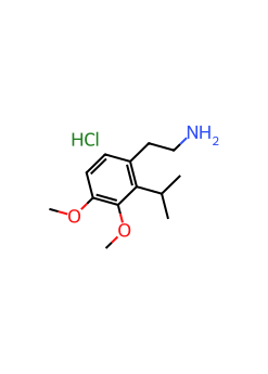 COc1ccc(CCN)c(C(C)C)c1OC.Cl